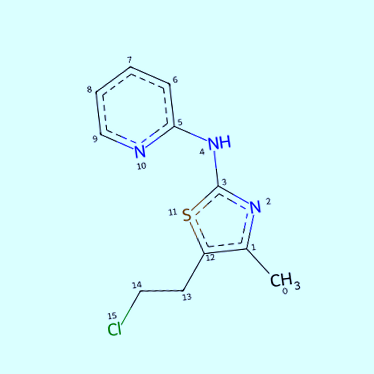 Cc1nc(Nc2ccccn2)sc1CCCl